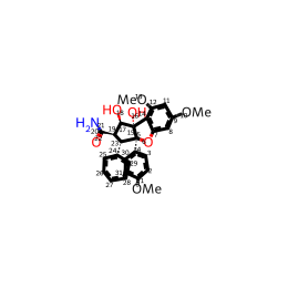 COc1ccc([C@@]23Oc4cc(OC)cc(OC)c4[C@]2(O)[C@H](O)[C@H](C(N)=O)[C@H]3c2ccccc2)cc1